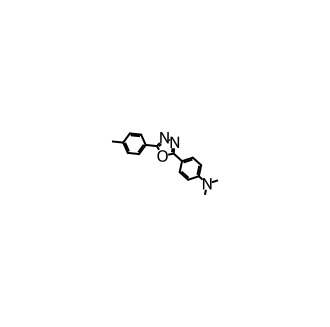 Cc1ccc(-c2nnc(-c3ccc(N(C)C)cc3)o2)cc1